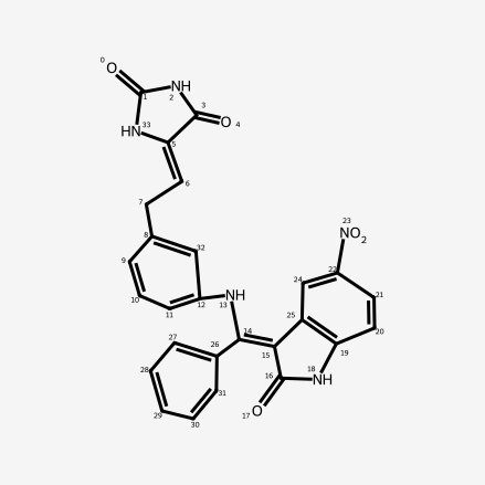 O=C1NC(=O)/C(=C/Cc2cccc(NC(=C3C(=O)Nc4ccc([N+](=O)[O-])cc43)c3ccccc3)c2)N1